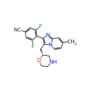 Cc1ccn2c(C[C@H]3CNCCO3)c(-c3c(F)cc(C#N)cc3F)nc2c1